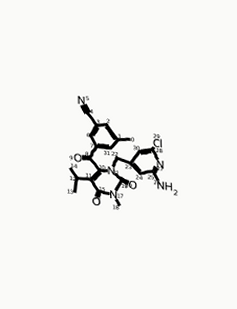 Cc1cc(C#N)cc(C(=O)c2c(C(C)C)c(=O)n(C)c(=O)n2Cc2cc(N)nc(Cl)c2)c1